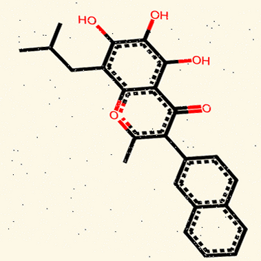 Cc1oc2c(CC(C)C)c(O)c(O)c(O)c2c(=O)c1-c1ccc2ccccc2c1